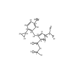 CC(=O)CC(=O)c1nn(C(F)F)cc1Cc1cc(Br)ccc1C1CC1